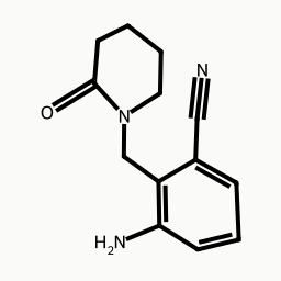 N#Cc1cccc(N)c1CN1CCCCC1=O